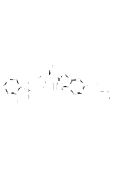 C=CCOc1ccc2[nH]c(C(=O)N3CCC4(CC3)COc3ccccc34)cc2c1